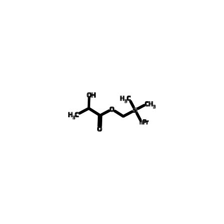 CCC[Si](C)(C)COC(=O)C(C)O